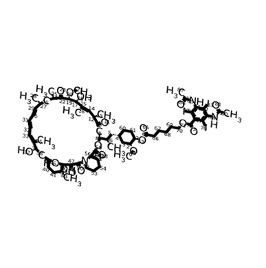 CO[C@@H]1C[C@H](C[C@@H](C)[C@@H]2CC(=O)[C@H](C)/C=C(\C)[C@@H](O)[C@@H](OC)C(=O)[C@H](C)C[C@H](C)/C=C/C=C/C=C(\C)[C@@H](O)C[C@@H]3CC[C@@H](C)[C@@](O)(O3)C(=O)C(=O)N3CCCC[C@H]3C(=O)O2)CC[C@H]1OC(=O)CCCCCOC(=O)c1c(I)c(NC(C)=O)c(I)c(NC(C)=O)c1I